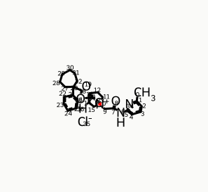 Cc1cccc(NC(=O)C[N+]23CCC(CC2)[C@@H](OC(=O)C2(c4ccccc4)CCCCCC2)C3)n1.[Cl-]